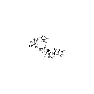 O=C(Nc1ccc2cc1CCc1cccc(c1)Nc1ncc(Cl)c(n1)N2)C1CCCN(C(=O)c2ccccc2)C1